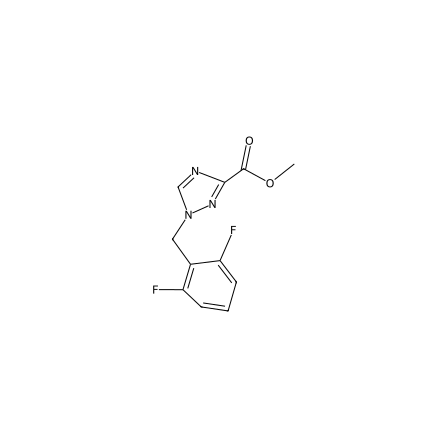 COC(=O)c1ncn(Cc2c(F)cccc2F)n1